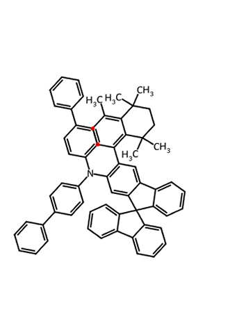 Cc1ccc(-c2cc3c(cc2N(c2ccc(-c4ccccc4)cc2)c2ccc(-c4ccccc4)cc2)C2(c4ccccc4-c4ccccc42)c2ccccc2-3)c2c1C(C)(C)CCC2(C)C